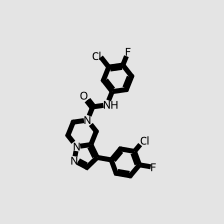 O=C(Nc1ccc(F)c(Cl)c1)N1CCn2ncc(-c3ccc(F)c(Cl)c3)c2C1